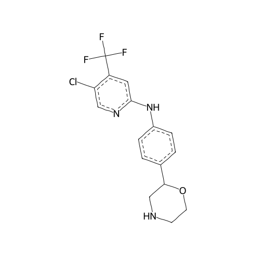 FC(F)(F)c1cc(Nc2ccc(C3CNCCO3)cc2)ncc1Cl